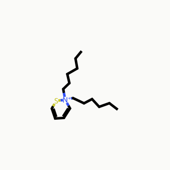 CCCCCC[N+]1(CCCCCC)C=CC=CS1